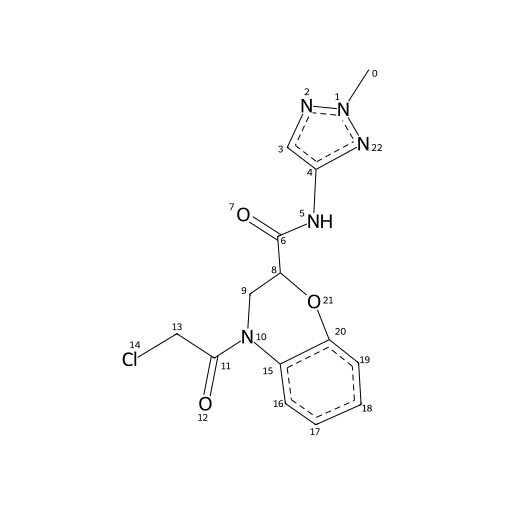 Cn1ncc(NC(=O)C2CN(C(=O)CCl)c3ccccc3O2)n1